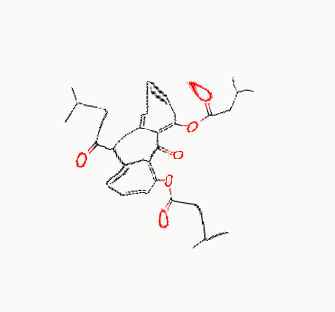 CC(C)CC(=O)Oc1cccc2c1C(=O)c1c(OC(=O)CC(C)C)cccc1C2C(=O)CC(C)C